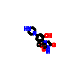 Cc1cc(N2CCNCC2)cc(O)c1N1CC(=O)NS1(=O)=O